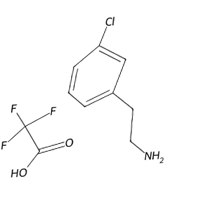 NCCc1cccc(Cl)c1.O=C(O)C(F)(F)F